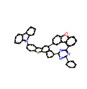 c1ccc(-c2nc(-c3ccccc3)nc(-c3cccc4oc5ccc(-c6ccc7sc8ccc(-n9c%10ccccc%10c%10ccccc%109)cc8c7c6)cc5c34)n2)cc1